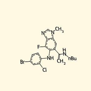 C=C(NCCCC)c1cc2c(ncn2C)c(F)c1Nc1ccc(Br)cc1Cl